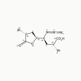 CC(C)[C@H](C[C@H](N=[N+]=[N-])[C@@H]1C[C@@H](C(C)C)C(=O)O1)C(=O)O